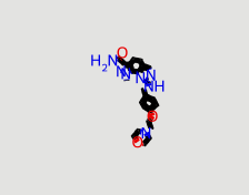 Cn1nc(C(N)=O)c2c1-c1nc(NCc3ccc(OCCN4CCOCC4)cc3)ncc1CC2